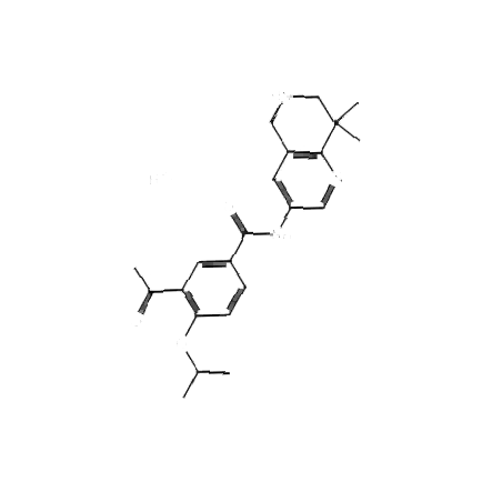 CC(=O)c1cc(C(=O)Nc2cnc3c(c2)CNCC3(C)C)ccc1OC(C)C.Cl